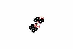 Oc1ccc2ccccc2c1-c1c(OCCOc2ccc3ccccc3c2-c2c(O)ccc3ccccc23)ccc2ccccc12